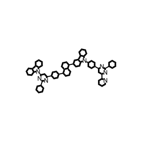 c1ccc(-c2nc(-c3ccc(-n4c5ccccc5c5cc(-c6cccc7c(-c8ccc(-c9cc(-n%10c%11ccccc%11c%11ccccc%11%10)nc(-c%10ccccc%10)n9)cc8)cccc67)ccc54)cc3)cc(-c3ccccn3)n2)cc1